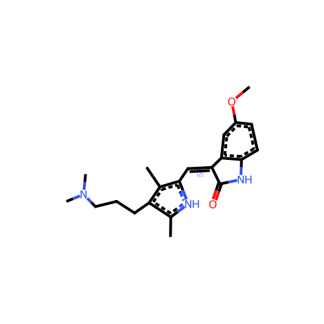 COc1ccc2c(c1)/C(=C/c1[nH]c(C)c(CCCN(C)C)c1C)C(=O)N2